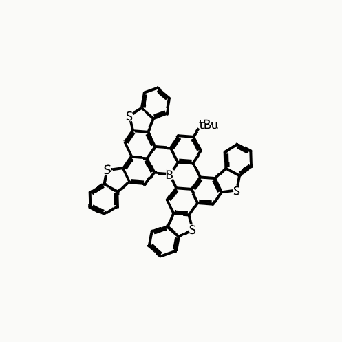 CC(C)(C)c1cc2c3c(c1)-c1c4c(cc5c6ccccc6sc5c4cc4sc5ccccc5c14)B3c1cc3c4ccccc4sc3c3cc4sc5ccccc5c4c-2c13